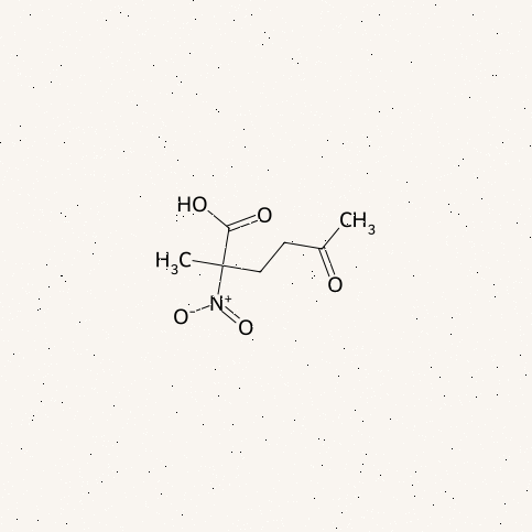 CC(=O)CCC(C)(C(=O)O)[N+](=O)[O-]